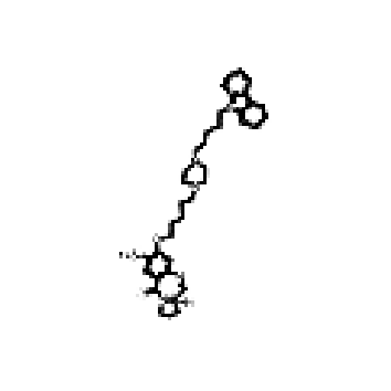 Cc1cc2c(cc1OCCCCCN1CCN(CCCCCn3c4ccccc4c4ccccc43)CC1)N=C[C@@H]1CCCN1C2=O